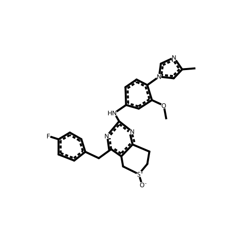 COc1cc(Nc2nc3c(c(Cc4ccc(F)cc4)n2)C[S+]([O-])CC3)ccc1-n1cnc(C)c1